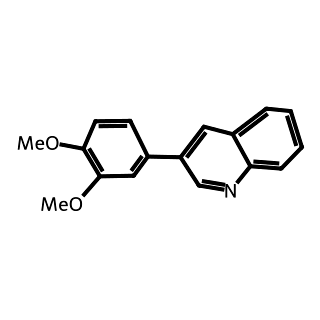 COc1ccc(-c2cnc3ccccc3c2)cc1OC